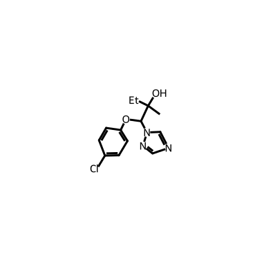 CCC(C)(O)C(Oc1ccc(Cl)cc1)n1cncn1